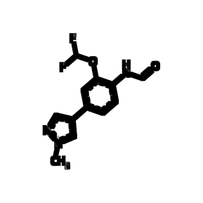 Cn1cc(-c2ccc(NC=O)c(OC(F)F)c2)cn1